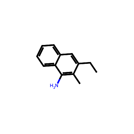 CCc1cc2ccccc2c(N)c1C